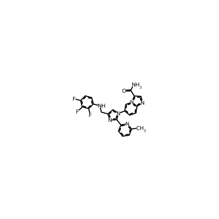 Cc1cccc(-c2nc(CNc3ccc(F)c(F)c3F)cn2-c2ccc3ncc(C(N)=O)n3c2)n1